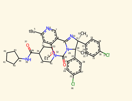 CCOc1cc(C(C)(C)C)ncc1C1=N[C@@](C)(c2ccc(Cl)cc2)[C@@](C)(c2ccc(Cl)cc2)N1C(=O)N1CCC(C(=O)NC2CCCC2)CC1